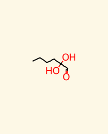 CCCCC(O)(O)C=O